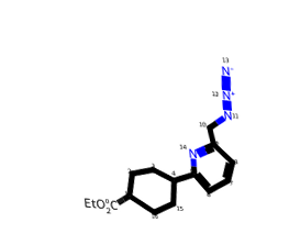 CCOC(=O)C1CCC(c2cccc(CN=[N+]=[N-])n2)CC1